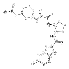 O=C(O)CN1CCc2nc(C(=O)N[C@H]3CCC[C@@H]3NC(=O)c3cc4cc(Cl)ccc4[nH]3)sc2C1